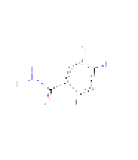 CCNC(=O)c1cc([N+](=O)[O-])c(N)cc1F